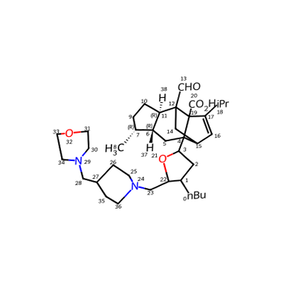 CCCCC1CC(C23C[C@@H]4[C@H](C)CC[C@H]4C4(C=O)CC2C=C(C(C)C)C34C(=O)O)OC1CN1CCC(CN2CCOCC2)CC1